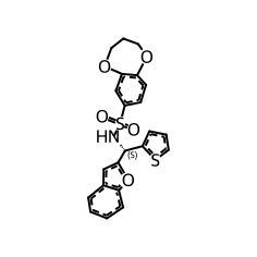 O=S(=O)(N[C@@H](c1cc2ccccc2o1)c1cccs1)c1ccc2c(c1)OCCCO2